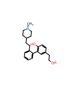 CN1CCC(CCc2ccccc2-c2cc(CCO)ccc2O)CC1